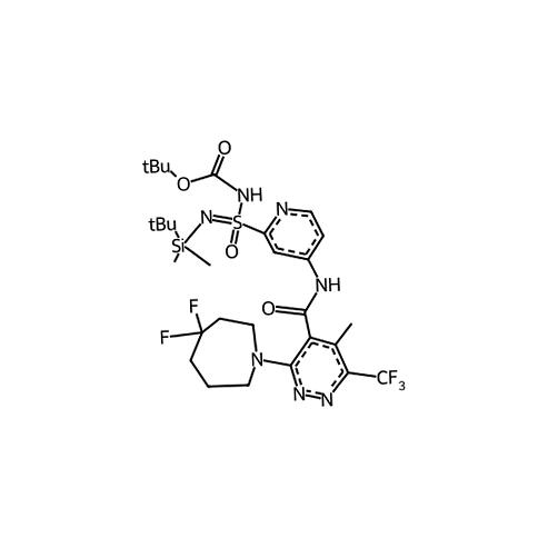 Cc1c(C(F)(F)F)nnc(N2CCCC(F)(F)CC2)c1C(=O)Nc1ccnc(S(=O)(=N[Si](C)(C)C(C)(C)C)NC(=O)OC(C)(C)C)c1